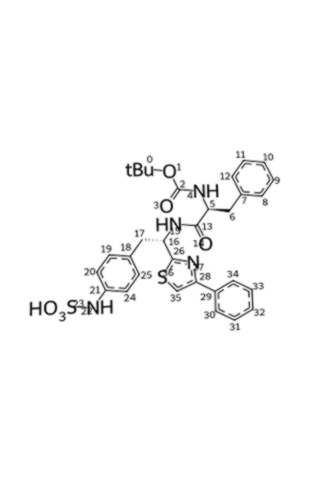 CC(C)(C)OC(=O)N[C@@H](Cc1ccccc1)C(=O)N[C@@H](Cc1ccc(NS(=O)(=O)O)cc1)c1nc(-c2ccccc2)cs1